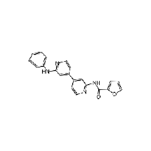 O=C(Nc1cc(-c2ccnc(Nc3ccccc3)c2)ccn1)c1ccco1